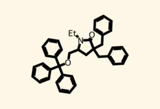 CCN1C(=O)C(Cc2ccccc2)(Cc2ccccc2)CC1COC(c1ccccc1)(c1ccccc1)c1ccccc1